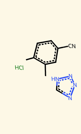 Cc1ccc(C#N)cc1C.Cl.c1nnn[nH]1